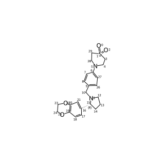 O=S1(=O)CCN(c2ccc(CN3CCC[C@@H]3c3ccc4c(c3)OCCO4)cc2)CC1